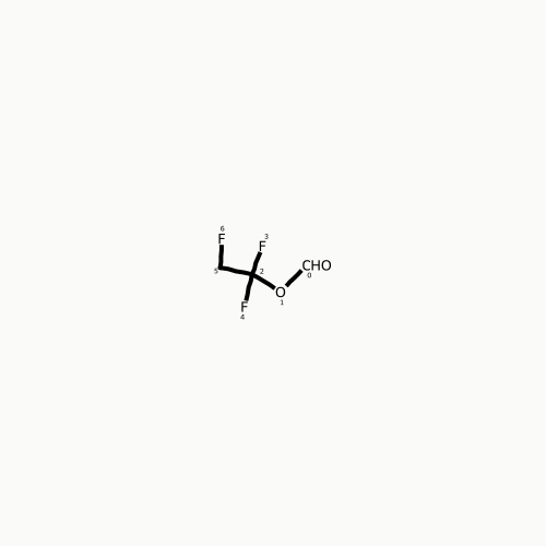 O=COC(F)(F)CF